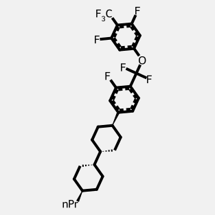 CCC[C@H]1CC[C@H]([C@H]2CC[C@H](c3ccc(C(F)(F)Oc4cc(F)c(C(F)(F)F)c(F)c4)c(F)c3)CC2)CC1